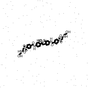 O=C(CS(=O)(=O)c1ccc(C(=O)Nc2ccc(/C=C/c3ccc(NC(=O)c4ccc(S(=O)(=O)CC(=O)NCCO)cc4)cc3S(=O)(=O)O)c(S(=O)(=O)O)c2)cc1)NCCO